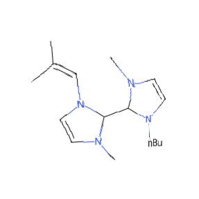 CCCCN1C=CN(C)C1C1N(C)C=CN1C=C(C)C